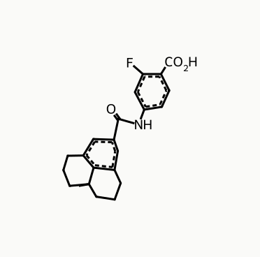 CC12CCCc3cc(C(=O)Nc4ccc(C(=O)O)c(F)c4)cc(c31)CCC2